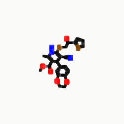 COC(=O)C1=C(C)NC(SCC(=O)c2cccs2)=C(C#N)C1c1ccc2c(c1)OCCO2